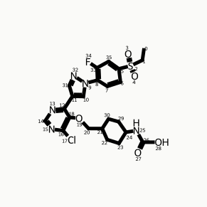 CCS(=O)(=O)c1ccc(-n2cc(-c3ncnc(Cl)c3OCC3CCC(NC(=O)O)CC3)cn2)c(F)c1